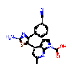 Cc1cc(-c2sc(N)nc2-c2cccc(C#N)c2)c2ccn(C(=O)O)c2n1